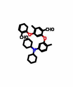 Cc1cc(C=O)c(Oc2cc(N(C3CCCCC3)C3CCCCC3)ccc2C)cc1OC1=C(C=O)C=CCC1